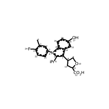 Cc1cc(-n2c(C(C)C)c(C3COC(C(=O)O)C3)c3cc(O)ccc32)ccc1F